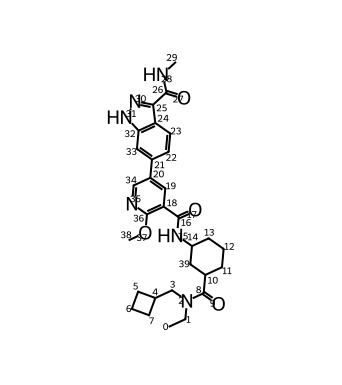 CCN(CC1CCC1)C(=O)C1CCCC(NC(=O)c2cc(-c3ccc4c(C(=O)NC)n[nH]c4c3)cnc2OC)C1